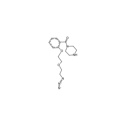 [N-]=[N+]=NCCOCCOc1ccccc1C(=O)N1CCNCC1